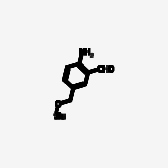 CC(C)(C)OCc1ccc(N)c(C=O)c1